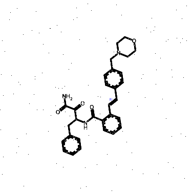 NC(=O)C(=O)C(Cc1ccccc1)NC(=O)c1ccccc1/C=C/c1ccc(CN2CCOCC2)cc1